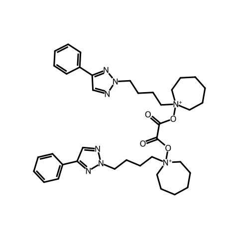 O=C(O[N+]1(CCCCn2ncc(-c3ccccc3)n2)CCCCCC1)C(=O)O[N+]1(CCCCn2ncc(-c3ccccc3)n2)CCCCCC1